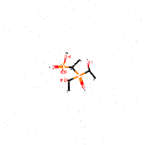 CC(O)P(=O)(C(C)O)C(C)P(=O)(O)O